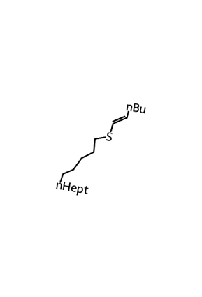 CCCCC=CSCCCCCCCCCCCC